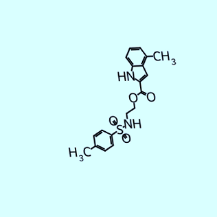 Cc1ccc(S(=O)(=O)NCCOC(=O)c2cc3c(C)cccc3[nH]2)cc1